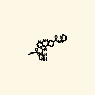 CC#CC(=O)N1C2CN[C@@H](C2)C1c1nc(-c2ccc(C(=O)Nc3ccccn3)cc2)c2c(N)nccn12